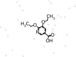 CCOc1cc(C(=O)O)cnc1OCC